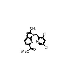 COC(=O)c1ccc2nc(C)n(Cc3ncc(Cl)cc3Cl)c2n1